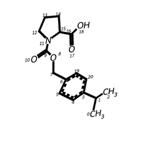 CC(C)c1ccc(COC(=O)N2CCCC2C(=O)O)cc1